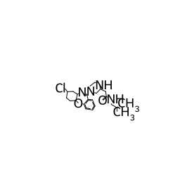 CC(C)CNC(=O)CC1CN(C2=NC3CC(Cl)CCC3Oc3ccccc32)CCN1